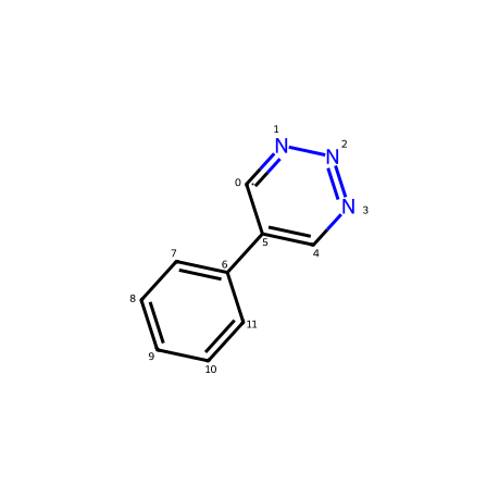 [c]1nnncc1-c1ccccc1